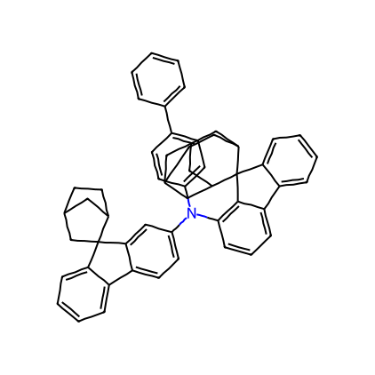 c1ccc(-c2ccc(N(c3ccc4c(c3)C3(CC5CCC3C5)c3ccccc3-4)c3cccc4c3C3(c5ccccc5-4)C4CCC5CC(C4)CC3C5)cc2)cc1